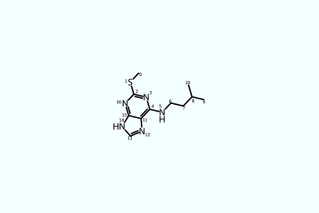 CSc1nc(NCCC(C)C)c2nc[nH]c2n1